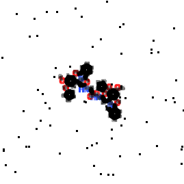 COc1ccc(C(CC(=O)NCC(=O)ONC(=O)CC(c2ccc(OC)c(OC3CCCC3)c2)N2Cc3ccccc3C2=O)N2Cc3ccccc3C2=O)cc1OC1CCCC1